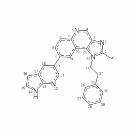 Cc1nc2cnc3ccc(-c4cnc5[nH]ccc5c4)cc3c2n1CCc1ccccc1